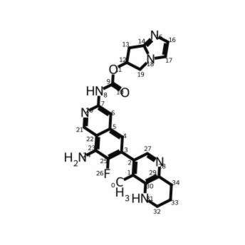 Cc1c(-c2cc3cc(NC(=O)OC4Cc5nccn5C4)ncc3c(N)c2F)cnc2c1NCCC2